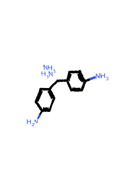 N.N.Nc1ccc(Cc2ccc(N)cc2)cc1